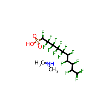 CNC.O=S(=O)(O)C(F)C(F)(F)C(F)(F)C(F)(F)C(F)(F)C(F)C(F)C(F)C(F)C(F)F